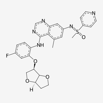 Cc1cc(N=S(C)(=O)c2ccncc2)cc2ncnc(Nc3ccc(F)cc3O[C@@H]3CO[C@@H]4CCOC43)c12